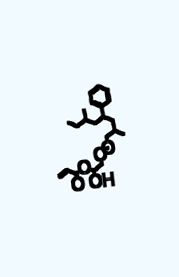 C=CC(=O)OC(O)COOCC(C)CC(CC(C)CC)c1ccccc1